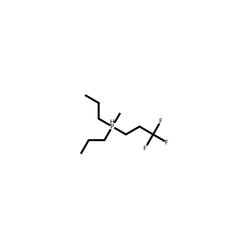 CCC[PH](C)(CCC)CCC(F)(F)F